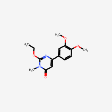 CCOc1nc(-c2ccc(OC)c(OC)c2)cc(=O)n1C